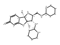 O=c1ccn2c(n1)O[C@@H]1[C@@H](OC3CCCCO3)[C@H](COC3CCCCO3)O[C@@H]12